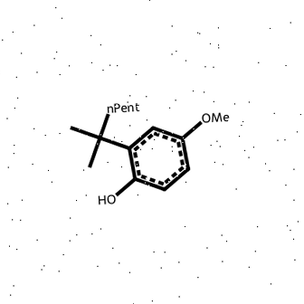 CCCCCC(C)(C)c1cc(OC)ccc1O